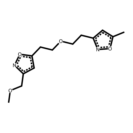 COCc1cc(CCOCCc2cc(C)on2)on1